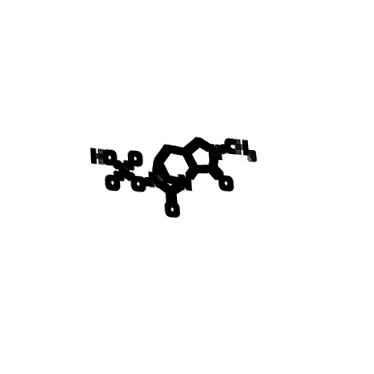 CN1CC2CC3CN(C(=O)N3OS(=O)(=O)O)C2C1=O